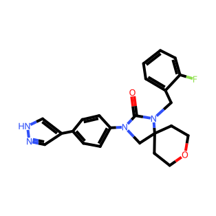 O=C1N(c2ccc(-c3cn[nH]c3)cc2)CC2(CCOCC2)N1Cc1ccccc1F